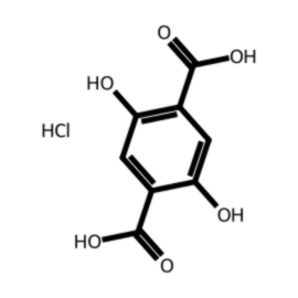 Cl.O=C(O)c1cc(O)c(C(=O)O)cc1O